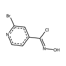 ON=C(Cl)c1ccnc(Br)c1